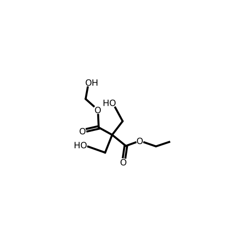 CCOC(=O)C(CO)(CO)C(=O)OCO